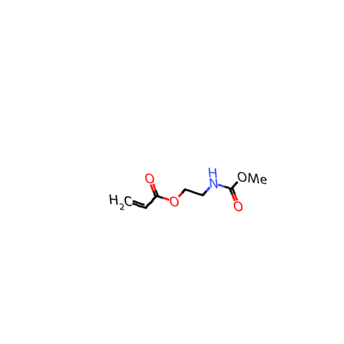 [CH2]OC(=O)NCCOC(=O)C=C